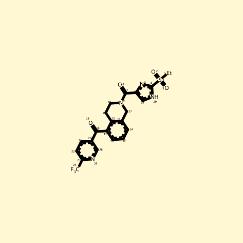 CCS(=O)(=O)c1nc(C(=O)N2CCc3c(cccc3C(=O)c3ccc(C(F)(F)F)nc3)C2)c[nH]1